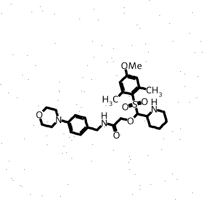 COc1cc(C)c(S(=O)(=O)C(OCC(=O)NCc2ccc(N3CCOCC3)cc2)C2CCCCN2)c(C)c1